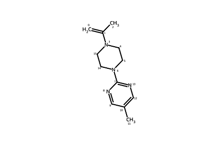 C=C(C)N1CCN(c2ncc(C)cn2)CC1